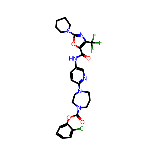 O=C(Nc1ccc(N2CCCN(C(=O)Oc3ccccc3Cl)CC2)nc1)c1oc(N2CCCCC2)nc1C(F)(F)F